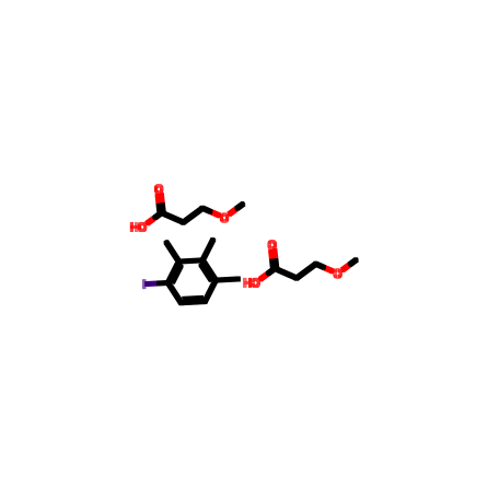 COCCC(=O)O.COCCC(=O)O.Cc1ccc(I)c(C)c1C